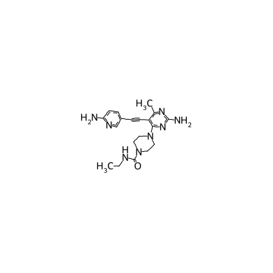 CCNC(=O)N1CCN(c2nc(N)nc(C)c2C#Cc2ccc(N)nc2)CC1